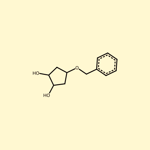 OC1CC(OCc2ccccc2)CC1O